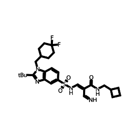 CC(C)(C)c1nc2cc(S(=O)(=O)N/C=C(\C=N)C(=O)NCC3CCC3)ccc2n1CC1CCC(F)(F)CC1